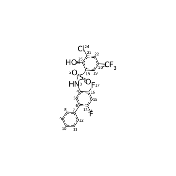 O=S(=O)(Nc1cc(-c2ccccc2)c(F)cc1F)c1cc(C(F)(F)F)cc(Cl)c1O